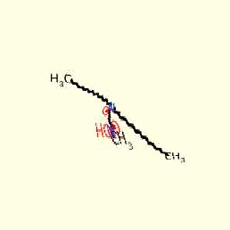 CCCCCCCCCCCCCCCCCCN(CCCCCCCCCCCCCCCCCC)C(=O)CCC(=O)N(C)O